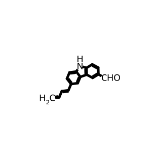 C=CC=Cc1ccc2[nH]c3ccc(C=O)cc3c2c1